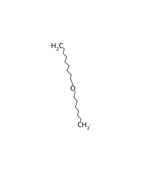 [CH2]CCCCCCCCCOCCCCCCC[CH2]